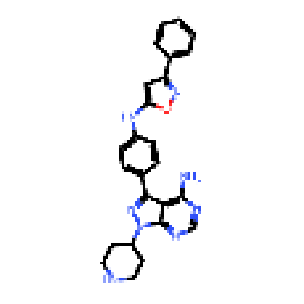 Nc1ncnc2c1c(-c1ccc(Nc3cc(-c4ccccc4)no3)cc1)nn2C1CCNCC1